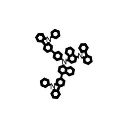 c1ccc(-n2c3ccccc3c3ccc(-c4ccc(N(c5ccc(-c6ccc7c8ccccc8n(-c8ccccc8)c7c6)c6ccccc56)c5ccc(-n6c7ccccc7c7ccccc76)c6ccccc56)cc4)cc32)cc1